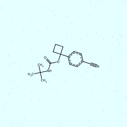 CC(C)(C)NC(=O)OC1(c2ccc(C#N)cc2)CCC1